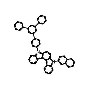 c1ccc(-c2cc(-c3ccccc3)cc(-c3ccc(-n4c5ccccc5c5c6c7ccccc7n(-c7ccc8ccccc8c7)c6ccc54)cc3)c2)cc1